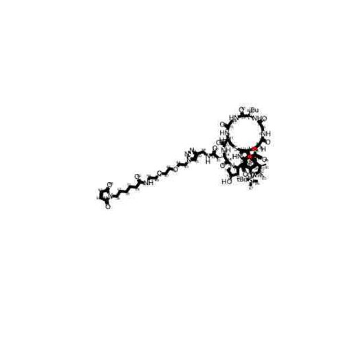 CC[C@H](C)[C@H]1NC(=O)CNC(=O)[C@@H]2Cc3c([nH]c4cc(OC)ccc34)SC[C@H](NC(=O)CNC1=O)C(=O)N[C@@H](CC(=O)NCc1cn(CCOCCOCCNC(=O)CCCCCN3C(=O)C=CC3=O)nn1)C(=O)N1C[C@H](O)CC1C(=O)N[C@@H]([C@@H](C)[C@H](C)O[Si](C)(C)C(C)(C)C)C(=O)N2